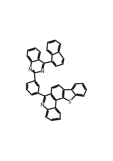 c1cc(-c2nc(-c3cccc4ccccc34)c3ccccc3n2)cc(-c2nc3ccccc3c3c2ccc2c4ccccc4sc23)c1